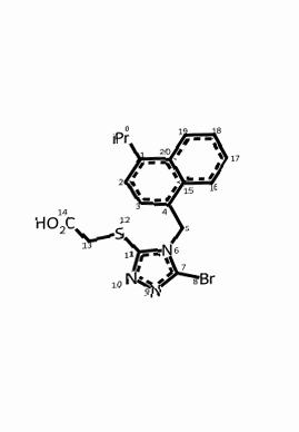 CC(C)c1ccc(Cn2c(Br)nnc2SCC(=O)O)c2ccccc12